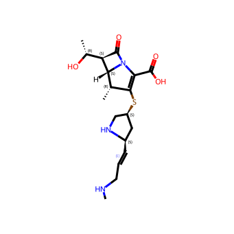 CNC/C=C/[C@@H]1C[C@H](SC2=C(C(=O)O)N3C(=O)[C@H]([C@@H](C)O)[C@H]3[C@H]2C)CN1